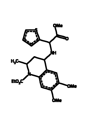 CCOC(=O)N1c2cc(OC)c(OC)cc2C(NC(C(=O)OC)c2cccs2)CC1C